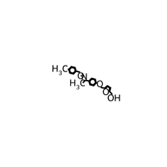 C/C(=N\OCc1ccc(C)cc1)c1ccc(OCc2ccc(CO)o2)cc1